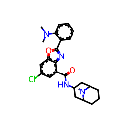 CN(C)c1ccccc1-c1nc2c(C(=O)NC3CC4CCCC(C3)N4C)cc(Cl)cc2o1